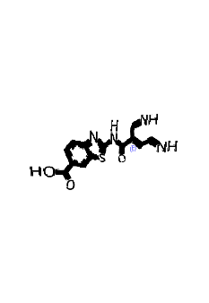 N=C/C=C(\C=N)C(=O)Nc1nc2ccc(C(=O)O)cc2s1